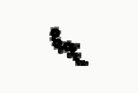 CNCCNC(=O)c1c[nH]c2ccc(C(=O)N3CCC(Cc4ccccc4)CC3)cc12